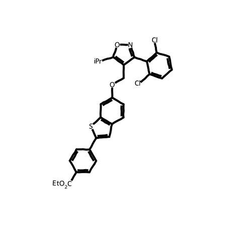 CCOC(=O)c1ccc(-c2cc3ccc(OCc4c(-c5c(Cl)cccc5Cl)noc4C(C)C)cc3s2)cc1